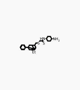 CCC12CC3CC(c4ccccc4)(CC(C1)C3CSCC(=S)N[C@H]1CC[C@H](N)CC1)C2